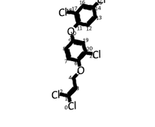 ClC(Cl)=CCOc1ccc(Oc2ccc(Cl)cc2Cl)cc1Cl